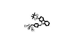 CCOP(=O)(Cc1ccc(Cn2c3ccccc3c3ccc(B4OC(C)(C)C(C)(C)O4)cc32)cc1)OCC